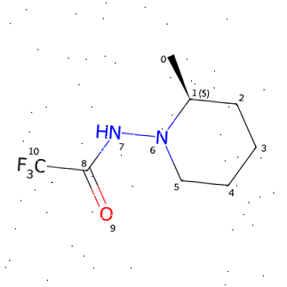 C[C@H]1CCCCN1NC(=O)C(F)(F)F